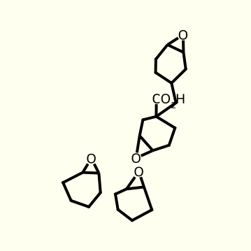 C1CCC2OC2C1.C1CCC2OC2C1.O=C(O)C1(CC2CCC3OC3C2)CCC2OC2C1